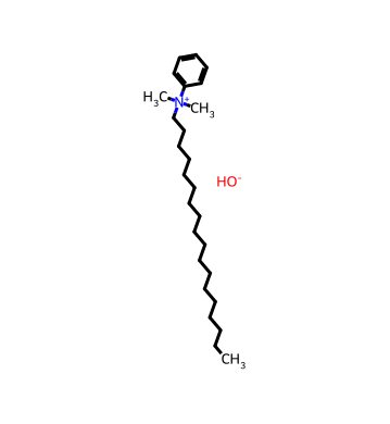 CCCCCCCCCCCCCCCCCC[N+](C)(C)c1ccccc1.[OH-]